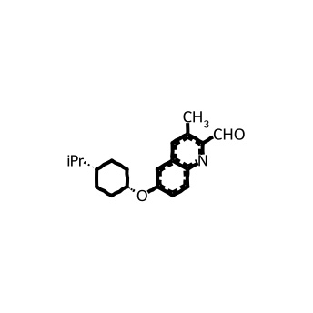 Cc1cc2cc(O[C@H]3CC[C@@H](C(C)C)CC3)ccc2nc1C=O